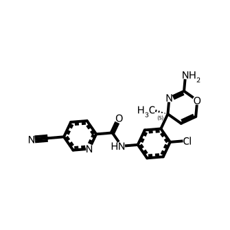 C[C@@]1(c2cc(NC(=O)c3ccc(C#N)cn3)ccc2Cl)C=COC(N)=N1